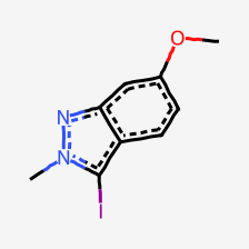 COc1ccc2c(I)n(C)nc2c1